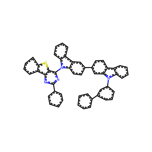 c1ccc(-c2cccc(-n3c4ccccc4c4ccc(-c5ccc6c(c5)c5ccccc5n6-c5nc(-c6ccccc6)nc6c5sc5ccccc56)cc43)c2)cc1